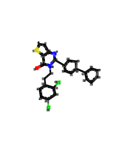 O=c1c2sccc2nc(-c2ccc(-c3ccccc3)cc2)n1CCc1ccc(Cl)cc1Cl